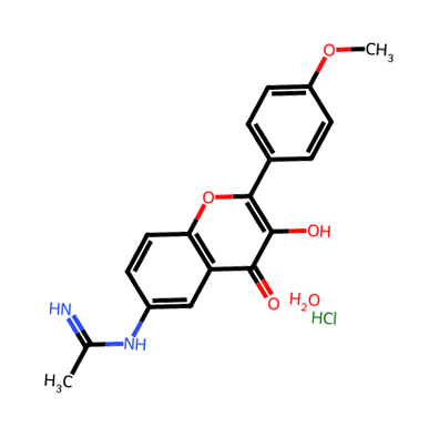 COc1ccc(-c2oc3ccc(NC(C)=N)cc3c(=O)c2O)cc1.Cl.O